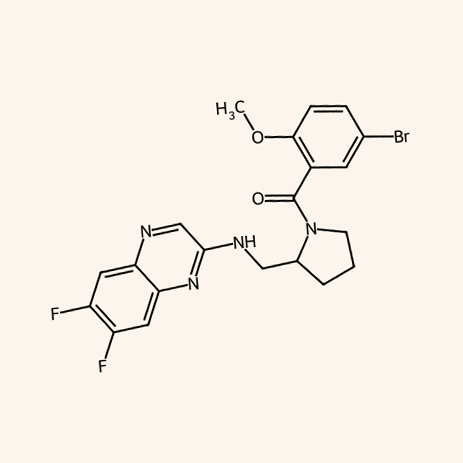 COc1ccc(Br)cc1C(=O)N1CCCC1CNc1cnc2cc(F)c(F)cc2n1